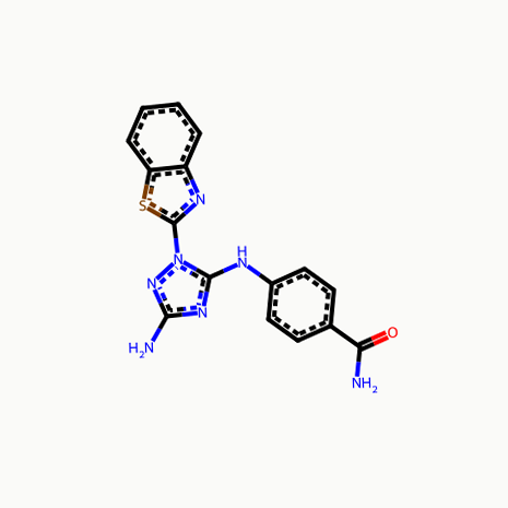 NC(=O)c1ccc(Nc2nc(N)nn2-c2nc3ccccc3s2)cc1